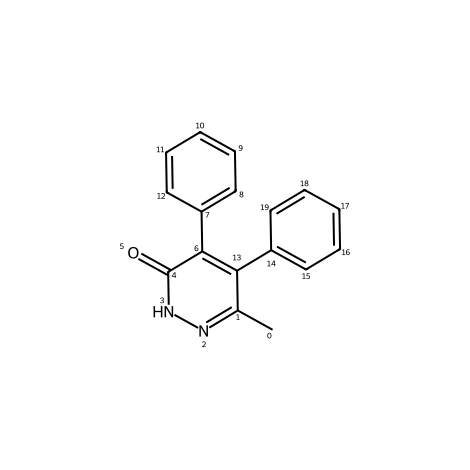 Cc1n[nH]c(=O)c(-c2ccccc2)c1-c1ccccc1